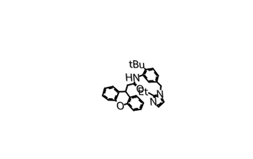 CCc1nccn1Cc1ccc(C(C)(C)C)c(NC(=O)CC2c3ccccc3Oc3ccccc32)c1